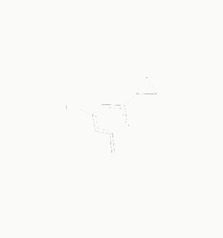 FC(F)(F)c1cc(C2CC2)[nH]c(=S)c1